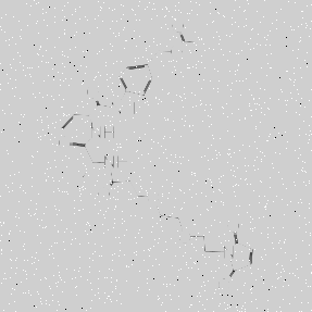 C=C[C@H](NC(=O)[C@H](C)NC(=O)CCOCCOCCN1C(=O)C=CC1=O)C(=O)Nc1ccc(COC(=O)CC)cc1